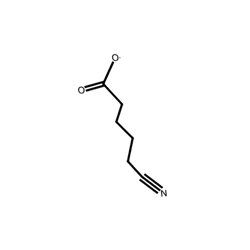 N#CCCCCC([O])=O